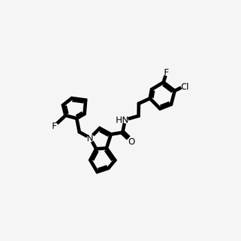 O=C(NCCc1ccc(Cl)c(F)c1)c1cn(Cc2ccccc2F)c2ccccc12